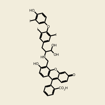 O=C(O)c1ccccc1-c1c2ccc(=O)cc-2oc2c(CNC(Cc3cc(I)c(Oc4ccc(O)c(I)c4)c(I)c3)C(O)O)c(O)ccc12